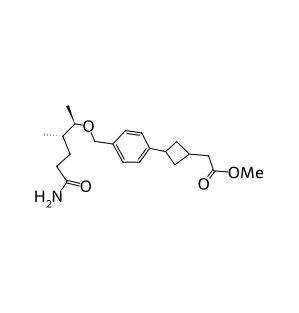 COC(=O)CC1CC(c2ccc(CO[C@H](C)[C@@H](C)CCC(N)=O)cc2)C1